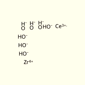 [Ce+3].[OH-].[OH-].[OH-].[OH-].[OH-].[OH-].[OH-].[Zr+4]